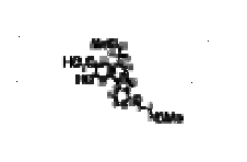 COCCCOc1cccc2c3n(nc12)C[C@H](C(C)(C)COC)N1C=C(C(=O)O)C(O)C=C31